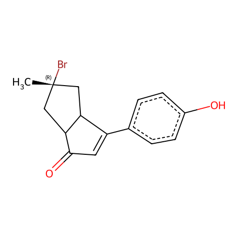 C[C@]1(Br)CC2C(=O)C=C(c3ccc(O)cc3)C2C1